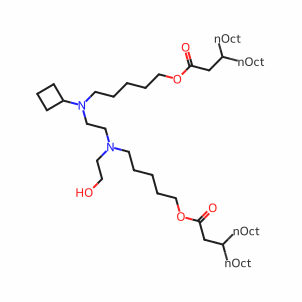 CCCCCCCCC(CCCCCCCC)CC(=O)OCCCCCN(CCO)CCN(CCCCCOC(=O)CC(CCCCCCCC)CCCCCCCC)C1CCC1